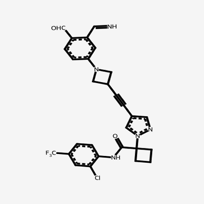 N=Cc1cc(N2CC(C#Cc3cnn(C4(C(=O)Nc5ccc(C(F)(F)F)cc5Cl)CCC4)c3)C2)ccc1C=O